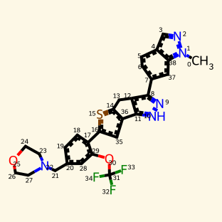 Cn1ncc2ccc(-c3n[nH]c4c3Cc3sc(-c5ccc(CN6CCOCC6)cc5OC(F)(F)F)cc3-4)cc21